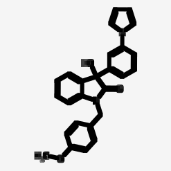 COc1ccc(CN2C(=O)C(O)(c3cccc(-n4cccc4)c3)c3ccccc32)cc1